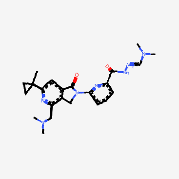 CN(C)/C=N/NC(=O)c1cccc(N2Cc3c(cc(C4(C)CC4)nc3CN(C)C)C2=O)n1